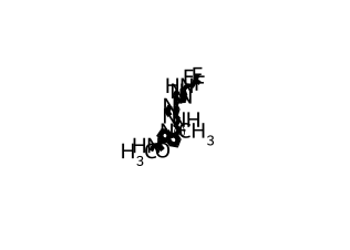 CNC(=O)c1ccnc2c([C@H](C)CNc3cc(-c4cnc(NCC(F)(F)F)nc4)ncn3)cccc12